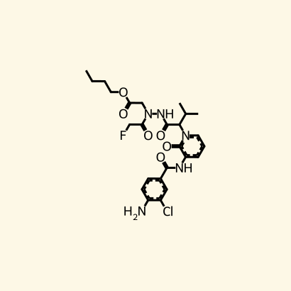 CCCCOC(=O)CN(NC(=O)C(C(C)C)n1cccc(NC(=O)c2ccc(N)c(Cl)c2)c1=O)C(=O)CF